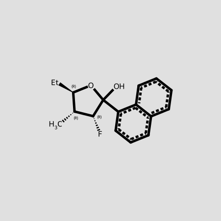 CC[C@H]1OC(O)(c2cccc3ccccc23)[C@H](F)[C@@H]1C